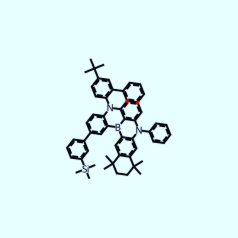 CC(C)(C)c1ccc(N2c3ccc(-c4cccc([Si](C)(C)C)c4)cc3B3c4cc5c(cc4N(c4ccccc4)c4cccc2c43)C(C)(C)CCC5(C)C)c(-c2ccccc2)c1